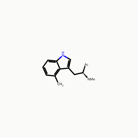 CN[C@@H](Cc1c[nH]c2cccc(C)c12)C(C)=O